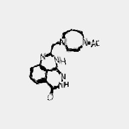 CC(=O)N1CCCN(CC2=Nc3cccc4c(=O)[nH]nc(c34)N2)CC1